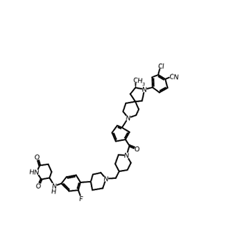 C[C@@H]1CC2(CCN(c3cccc(C(=O)N4CCC(CN5CCC(c6ccc(NC7CCC(=O)NC7=O)cc6F)CC5)CC4)c3)CC2)CN1c1ccc(C#N)c(Cl)c1